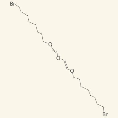 BrCCCCCCCCOC=COC=COCCCCCCCCBr